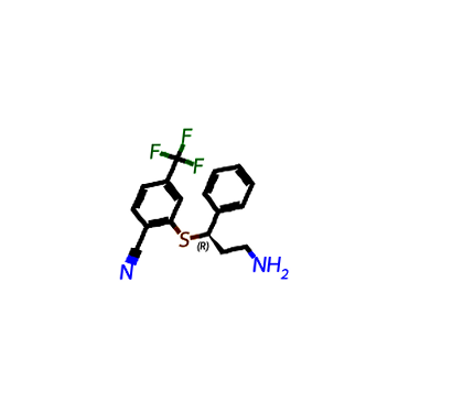 N#Cc1ccc(C(F)(F)F)cc1S[C@H](CCN)c1ccccc1